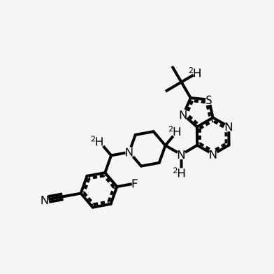 [2H]C(c1cc(C#N)ccc1F)N1CCC([2H])(N([2H])c2ncnc3sc(C([2H])(C)C)nc23)CC1